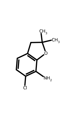 CC1(C)Cc2ccc(Cl)c(N)c2O1